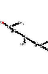 CCCCCCOC(CCC(=O)OCCCCCCCCN(CCCCO)CCCCCCCCOC(=O)CCC(OCCCCCC)OCCCCCC)OCCCCCC